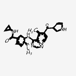 Cc1ccc(C(=O)NC2CC2)cc1Nc1ncnn2cc(C(=O)C3C=CNC3)c(C)c12